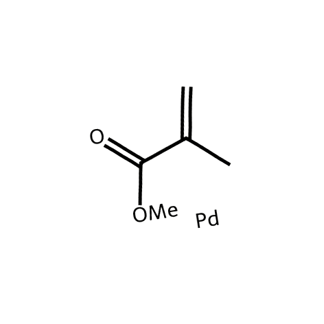 C=C(C)C(=O)OC.[Pd]